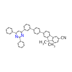 CC1(C)c2ccc(C#N)cc2-c2ccc(-c3ccc(-c4cccc(-c5cc(-c6ccccc6)nc(-c6ccccc6)n5)c4)cc3)cc21